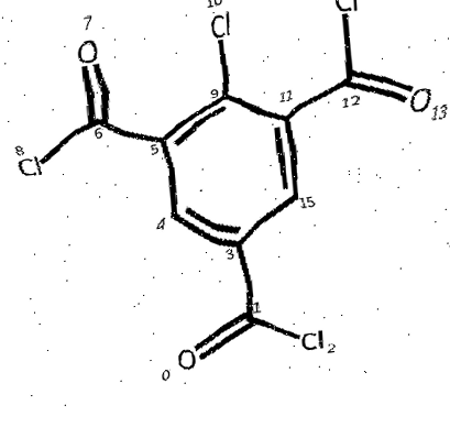 O=C(Cl)c1cc(C(=O)Cl)c(Cl)c(C(=O)Cl)c1